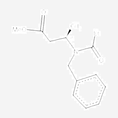 CCC(=O)N(Cc1ccccc1)[C@H](C)CC(=O)OC